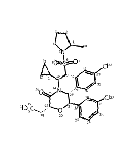 C[C@@H]1CCCN1S(=O)(=O)C[C@H](C1CC1)N1C(=O)[C@@H](CC(=O)O)O[C@H](c2cccc(Cl)c2)[C@H]1c1ccc(Cl)cc1